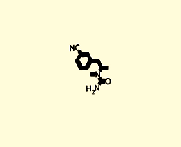 CC(Cc1cccc(C#N)c1)N(C)C(N)=O